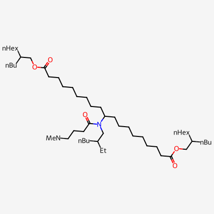 CCCCCCC(CCCC)COC(=O)CCCCCCCCC(CCCCCCCCC(=O)OCC(CCCC)CCCCCC)N(CC(CC)CCCC)C(=O)CCCNC